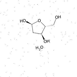 O.OC[C@H]1O[C@H](O)C[C@@H]1O